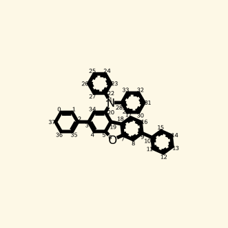 C1=CC(C2=CC3Oc4cc(-c5ccccc5)ccc4C3C(N(c3ccccc3)c3ccccc3)=C2)=CCC1